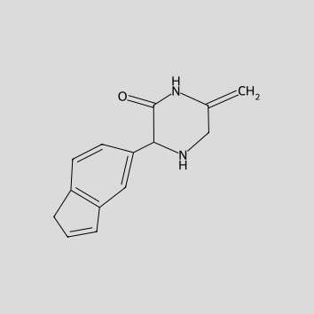 C=C1CNC(c2ccc3c(c2)C=CC3)C(=O)N1